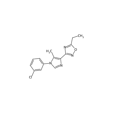 CCc1nc(-c2ncn(-c3cccc(Cl)c3)c2C)no1